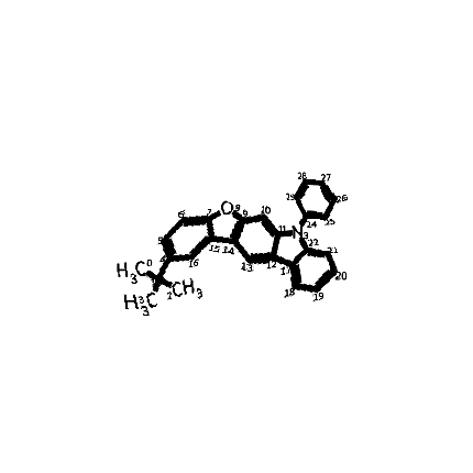 CC(C)(C)c1ccc2oc3cc4c(cc3c2c1)c1ccccc1n4-c1ccccc1